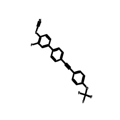 N#CSc1ccc(-c2ccc(C#Cc3ccc(OC(F)(F)F)cc3)cc2)cc1F